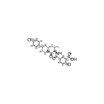 CC(C)[C@@H](NC(=O)c1ccc(Cl)c(C(=O)O)c1)C(=O)N1CCC(c2ccc(Cl)cc2)CC1